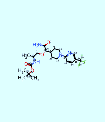 C[C@@H](CO[C@H](C(N)=O)C1CCN(c2ccc(C(F)(F)F)cn2)CC1)NC(=O)OC(C)(C)C